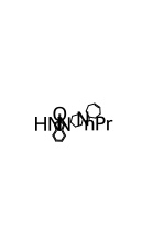 CCCC1(N2CCC(n3c(=O)[nH]c4ccccc43)CC2)CCC=CCC1